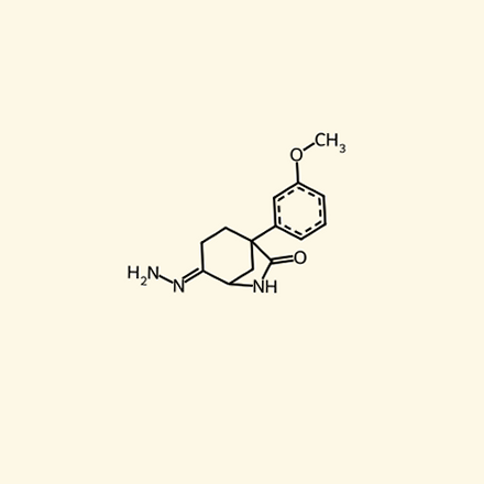 COc1cccc(C23CCC(=NN)C(C2)NC3=O)c1